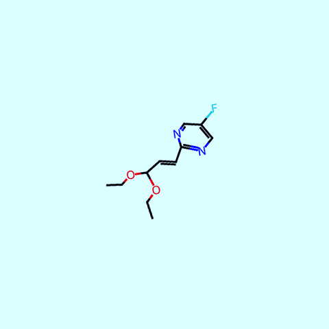 CCOC(/C=C/c1ncc(F)cn1)OCC